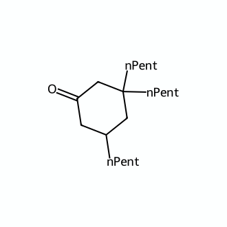 CCCCCC1CC(=O)CC(CCCCC)(CCCCC)C1